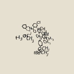 Cc1c(N(C(=O)c2cc(-c3cc(Cl)ccc3C(=O)N3Cc4ccccc4C[C@H]3CCCN(C)C)n(C)c2C)c2ccc(O[Si](C)(C)C(C)(C)C)cc2)cc(C#N)n1C